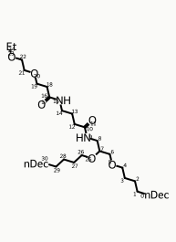 CCCCCCCCCCCCCCOCC(CNC(=O)CCCNC(=O)CCOCCOCC)OCCCCCCCCCCCCCC